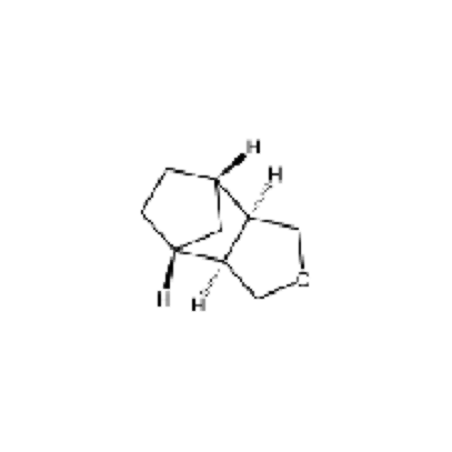 C1C[C@@H]2C[C@H]1[C@H]1COC[C@@H]21